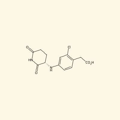 O=C(O)Cc1ccc(N[C@H]2CCC(=O)NC2=O)cc1Cl